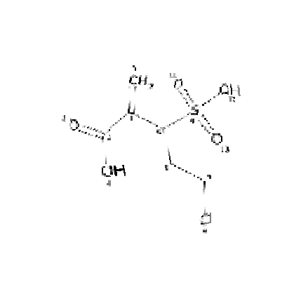 C=C(C(=O)O)C(CCCl)S(=O)(=O)O